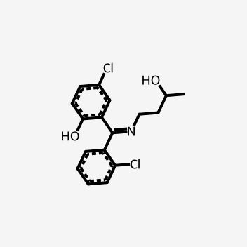 CC(O)CC/N=C(\c1cc(Cl)ccc1O)c1ccccc1Cl